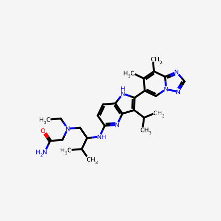 CCN(CC(N)=O)CC(Nc1ccc2[nH]c(-c3cn4ncnc4c(C)c3C)c(C(C)C)c2n1)C(C)C